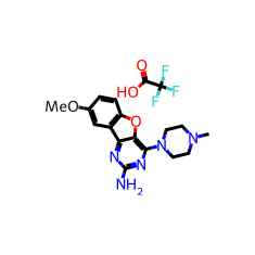 COc1ccc2oc3c(N4CCN(C)CC4)nc(N)nc3c2c1.O=C(O)C(F)(F)F